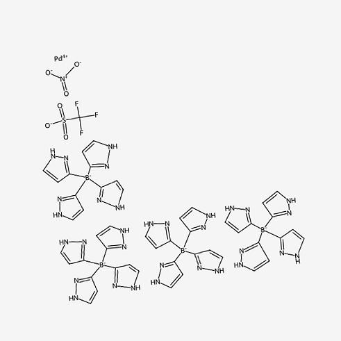 O=S(=O)([O-])C(F)(F)F.O=[N+]([O-])[O-].[Pd+4].c1cc([B-](c2cc[nH]n2)(c2cc[nH]n2)c2cc[nH]n2)n[nH]1.c1cc([B-](c2cc[nH]n2)(c2cc[nH]n2)c2cc[nH]n2)n[nH]1.c1cc([B-](c2cc[nH]n2)(c2cc[nH]n2)c2cc[nH]n2)n[nH]1.c1cc([B-](c2cc[nH]n2)(c2cc[nH]n2)c2cc[nH]n2)n[nH]1